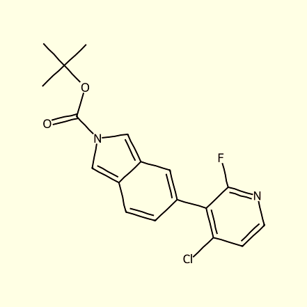 CC(C)(C)OC(=O)n1cc2ccc(-c3c(Cl)ccnc3F)cc2c1